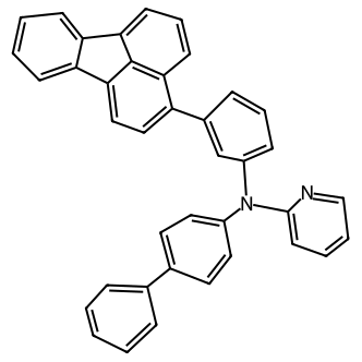 c1ccc(-c2ccc(N(c3cccc(-c4ccc5c6c(cccc46)-c4ccccc4-5)c3)c3ccccn3)cc2)cc1